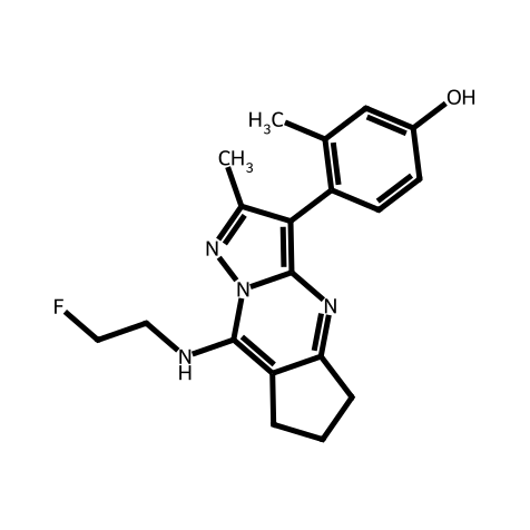 Cc1cc(O)ccc1-c1c(C)nn2c(NCCF)c3c(nc12)CCC3